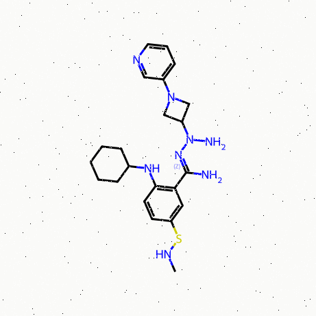 CNSc1ccc(NC2CCCCC2)c(/C(N)=N/N(N)C2CN(c3cccnc3)C2)c1